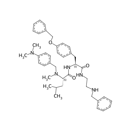 CC(C)C[C@@H](C(=O)N[C@@H](Cc1ccc(OCc2ccccc2)cc1)C(=O)NCCNCc1ccccc1)N(C)Cc1ccc(N(C)C)cc1